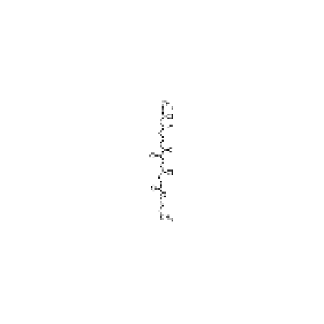 CCCCOC(=O)CCC(Cl)CCC(Cl)C(Cl)CCCC(Cl)CC(Cl)CC